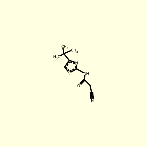 CC(C)(C)c1csc(NC(=O)CC#N)n1